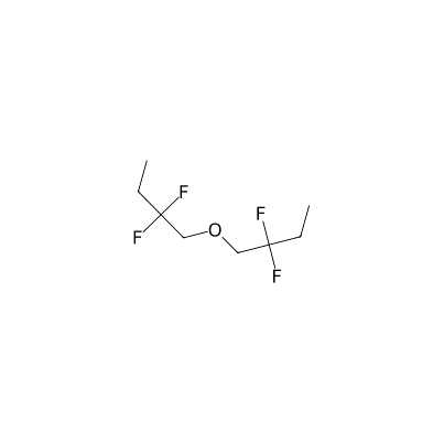 CCC(F)(F)COCC(F)(F)CC